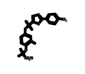 CCOC(=O)C(C)(C)Oc1ccc(OC(C)(C)c2cnc(-c3ccc(C(F)(F)F)cc3)s2)cc1C